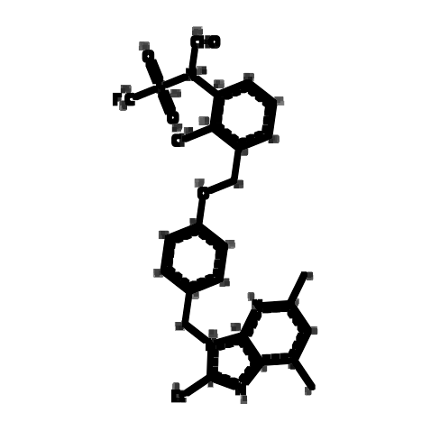 CCc1nc2c(C)cc(C)nc2n1Cc1ccc(OCc2cccc(N(C=O)S(=O)(=O)C(F)(F)F)c2Cl)cc1